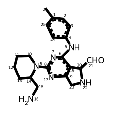 Cc1ccc(Nc2nc(N3CCCCC3CN)nc3c2C(C=O)NC3)cc1